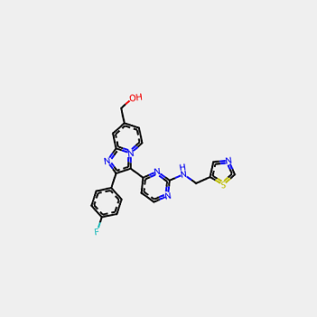 OCc1ccn2c(-c3ccnc(NCc4cncs4)n3)c(-c3ccc(F)cc3)nc2c1